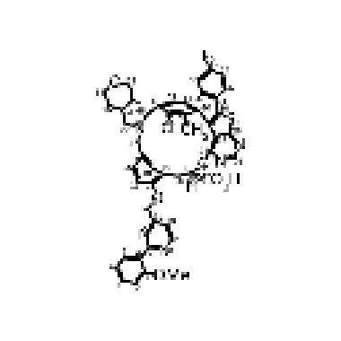 COc1ccccc1-c1nccc(COc2ccc3cc2C[C@H](C(=O)O)Oc2ncnc4sc(-c5ccc(F)cc5)c(c24)-c2ccc(c(Cl)c2C)CN(CC2CCOCC2)C3)n1